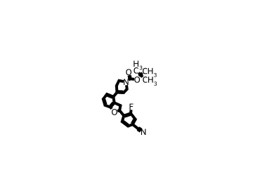 CC(C)(C)OC(=O)N1CC=C(c2cccc3c2CC(c2ccc(C#N)cc2F)O3)CC1